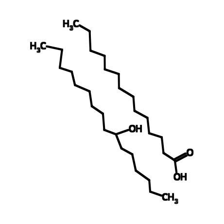 CCCCCCCCCC(O)CCCCCC.CCCCCCCCCCCCCC(=O)O